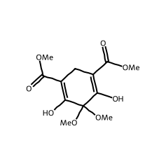 COC(=O)C1=C(O)C(OC)(OC)C(O)=C(C(=O)OC)C1